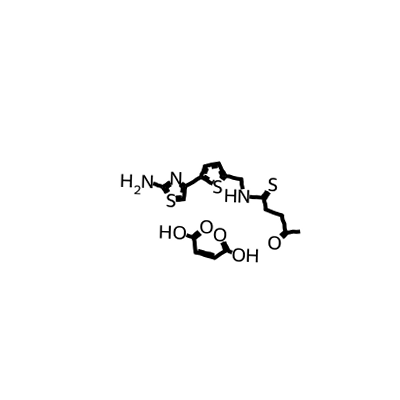 CC(=O)CCC(=S)NCc1ccc(-c2csc(N)n2)s1.O=C(O)/C=C\C(=O)O